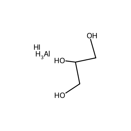 I.OCC(O)CO.[AlH3]